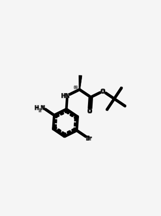 C[C@H](Nc1cc(Br)ccc1N)C(=O)OC(C)(C)C